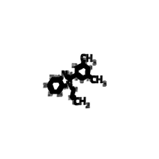 C=CCn1c(-c2cc(C)cc(C)c2)nc2ccccc21